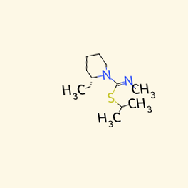 CC[C@@H]1CCCCN1/C(=N/C)SC(C)C